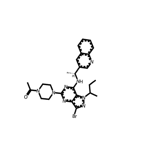 CCC(C)n1nc(Br)c2nc(N3CCN(C(C)=O)CC3)nc(N[C@H](C)c3cnc4ccccc4c3)c21